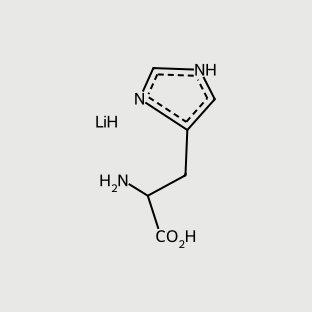 NC(Cc1c[nH]cn1)C(=O)O.[LiH]